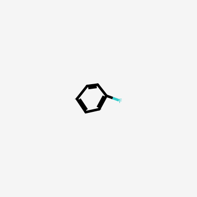 Fc1[c]c[c]cc1